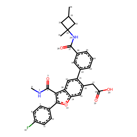 CNC(=O)c1c(-c2ccc(F)cc2)oc2cc(CC(=O)O)c(-c3cccc(C(=O)NC4(C)CC(C)C4)c3)cc12